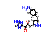 Nc1ccc(Cc2c[nH]c(CC(=O)C(=O)c3nc[nH]n3)c2)cc1